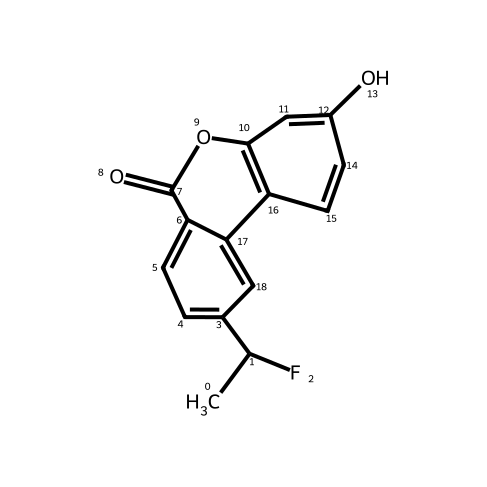 CC(F)c1ccc2c(=O)oc3cc(O)ccc3c2c1